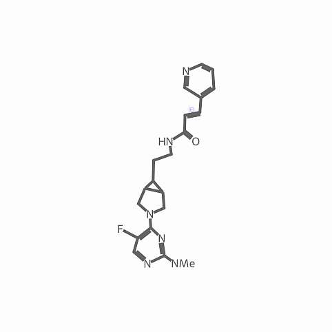 CNc1ncc(F)c(N2CC3C(CCNC(=O)/C=C/c4cccnc4)C3C2)n1